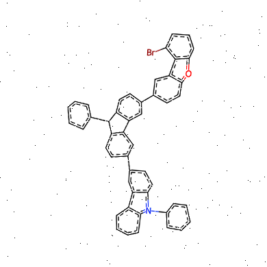 Brc1cccc2oc3ccc(-c4ccc5c(c4)-c4cc(-c6ccc7c(c6)c6ccccc6n7-c6ccccc6)ccc4C5c4ccccc4)cc3c12